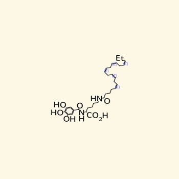 CC/C=C\C/C=C\C/C=C\C/C=C\C/C=C\CCCC(=O)NCCCCC(NC(=O)c1cc(O)c(O)c(O)c1)C(=O)O